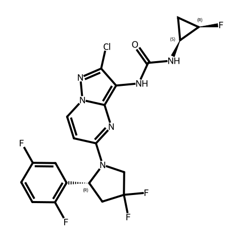 O=C(Nc1c(Cl)nn2ccc(N3CC(F)(F)C[C@@H]3c3cc(F)ccc3F)nc12)N[C@H]1C[C@H]1F